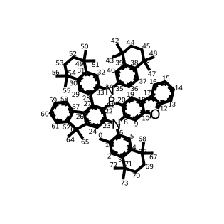 Cc1cc2c(cc1N1c3cc4oc5ccccc5c4cc3B3c4c1cc1c(c4-c4cc5c(cc4N3c3ccc4c(c3)C(C)(C)CCC4(C)C)C(C)(C)CCC5(C)C)-c3ccccc3C1(C)C)C(C)(C)CCC2(C)C